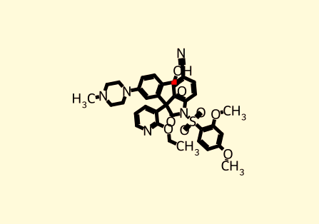 CCOc1ncccc1C1(c2cc(N3CCN(C)CC3)ccc2C(=O)O)C(=O)N(S(=O)(=O)c2ccc(OC)cc2OC)c2ccc(C#N)cc21